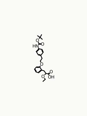 CCOC(Cc1ccccc1OCCc1ccc(NC(=O)OC(C)(C)C)cc1)C(=O)O